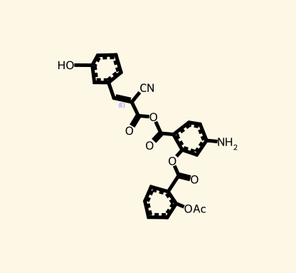 CC(=O)Oc1ccccc1C(=O)Oc1cc(N)ccc1C(=O)OC(=O)/C(C#N)=C/c1cccc(O)c1